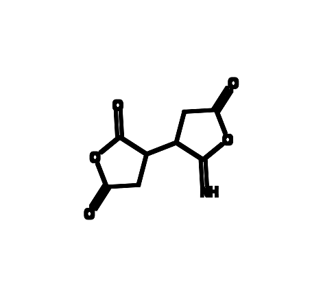 N=C1OC(=O)CC1C1CC(=O)OC1=O